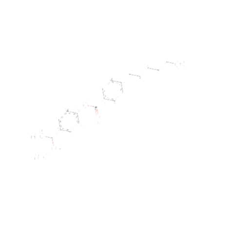 CCCCCCc1ccc(C(=O)Oc2ccc(C(C)OC)cc2)cc1